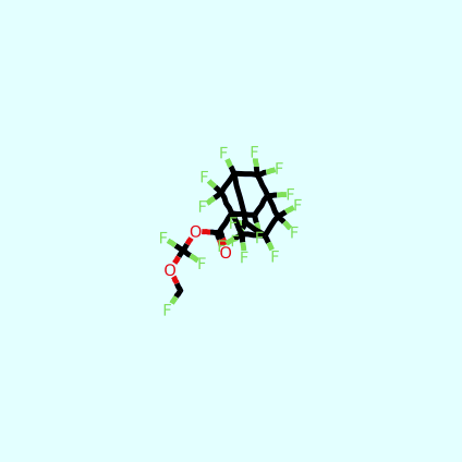 O=C(OC(F)(F)OCF)C12C(F)C3(F)C(F)(F)C(F)(C1(F)F)C(F)(F)C(F)(C3(F)F)C2(F)F